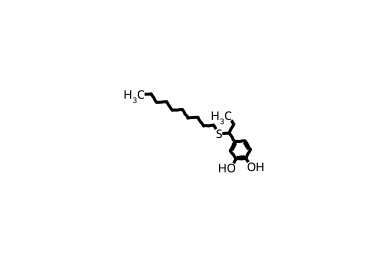 CCCCCCCCCCSC(CC)c1ccc(O)c(O)c1